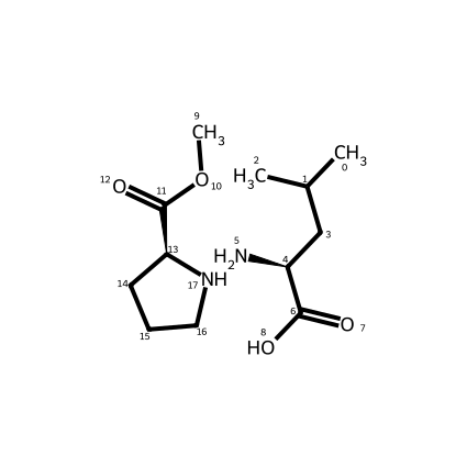 CC(C)C[C@H](N)C(=O)O.COC(=O)[C@@H]1CCCN1